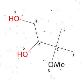 COC(C)(C)C(O)CO